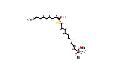 CCCCCCCCCCCCCCCCCC(O)=[SH]CCCCCCSCCC[Si](OCC)(OCC)OCC